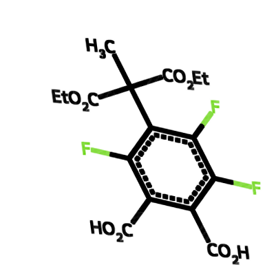 CCOC(=O)C(C)(C(=O)OCC)c1c(F)c(F)c(C(=O)O)c(C(=O)O)c1F